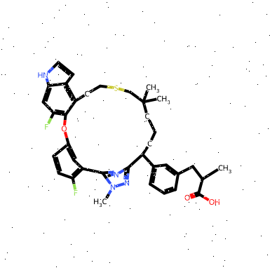 CC(Cc1cccc(C2CCCC(C)(C)CSCCc3c(c(F)cc4[nH]ccc34)Oc3ccc(F)c(c3)-c3nc2nn3C)c1)C(=O)O